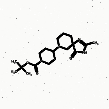 CC1=NC2(CCCN(C3CCN(C(=O)OC(C)(C)C)CC3)C2)C(=O)N1